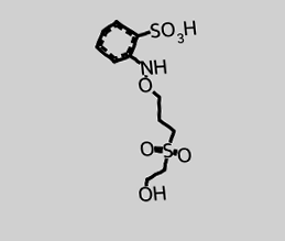 O=S(=O)(CCO)CCCONc1ccccc1S(=O)(=O)O